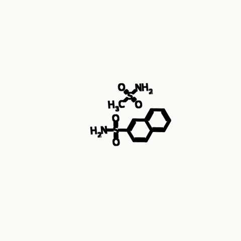 CS(N)(=O)=O.NS(=O)(=O)c1ccc2ccccc2c1